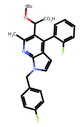 Cc1nc2c(ccn2Cc2ccc(F)cc2)c(-c2ccccc2F)c1C(OC(C)(C)C)C(=O)O